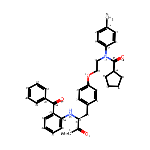 COC(=O)[C@H](Cc1ccc(OCCN(C(=O)C2CCCC2)c2ccc(C)cc2)cc1)Nc1ccccc1C(=O)c1ccccc1